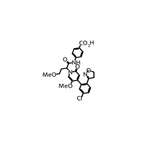 COCCC(C(=O)Nc1ccc(C(=O)O)cc1)n1cc(OC)c(-c2cc(Cl)ccc2C2=NOCC2)cc1=O